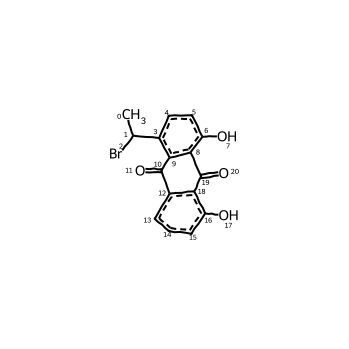 CC(Br)c1ccc(O)c2c1C(=O)c1cccc(O)c1C2=O